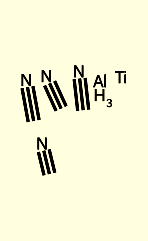 C#N.C#N.C#N.C#N.[AlH3].[Ti]